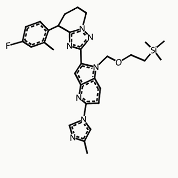 Cc1cn(-c2ccc3c(cc(-c4nc5n(n4)CCCC5c4ccc(F)cc4C)n3COCC[Si](C)(C)C)n2)cn1